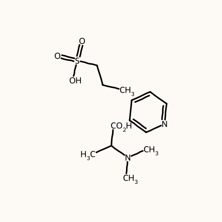 CC(C(=O)O)N(C)C.CCCS(=O)(=O)O.c1ccncc1